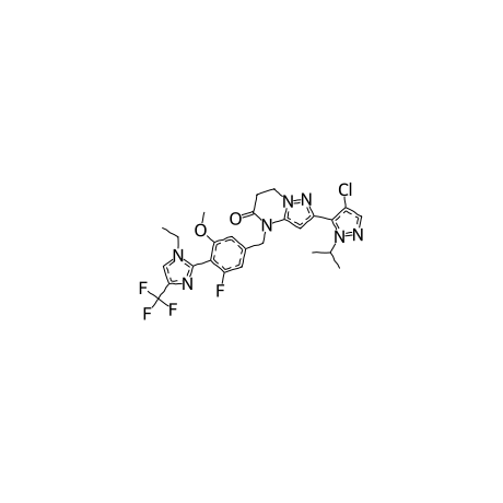 CCn1cc(C(F)(F)F)nc1-c1c(F)cc(CN2C(=O)CCn3nc(-c4c(Cl)cnn4C(C)C)cc32)cc1OC